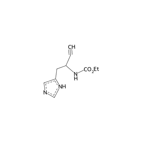 C#CC(Cc1cnc[nH]1)NC(=O)OCC